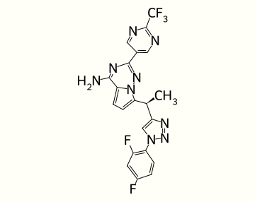 C[C@@H](c1cn(-c2ccc(F)cc2F)nn1)c1ccc2c(N)nc(-c3cnc(C(F)(F)F)nc3)nn12